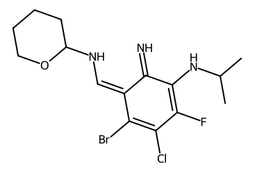 CC(C)NC1=C(F)C(Cl)=C(Br)/C(=C/NC2CCCCO2)C1=N